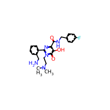 CN(C)CCn1c(-c2ccccc2CN)nc(C(=O)NCc2ccc(F)cc2)c(O)c1=O